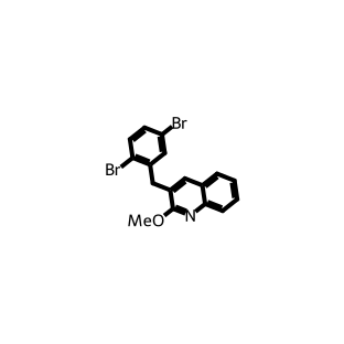 COc1nc2ccccc2cc1Cc1cc(Br)ccc1Br